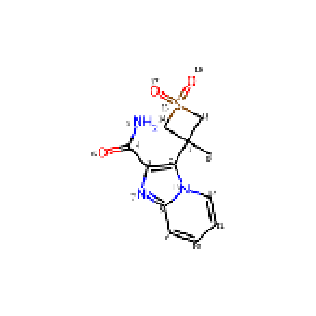 CC1(c2c(C(N)=O)nc3ccccn23)CS(=O)(=O)C1